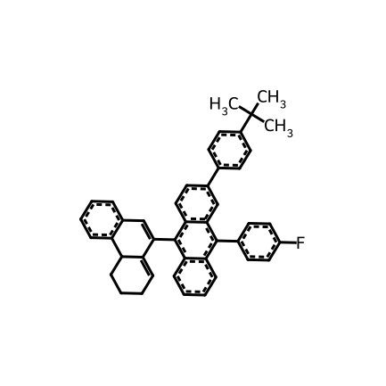 CC(C)(C)c1ccc(-c2ccc3c(C4=Cc5ccccc5C5CCCC=C45)c4ccccc4c(-c4ccc(F)cc4)c3c2)cc1